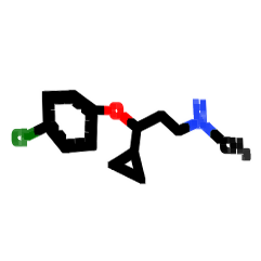 CNCCC(Oc1ccc(Cl)cc1)C1CC1